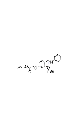 C=CCOC(=O)COc1ccc(/C=N/c2ccccc2)c(OCCCC)c1